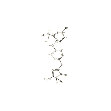 NC(=O)C1(C(=O)NCc2ccc(Oc3ccc(Br)cc3C(F)(F)F)cc2)CC1